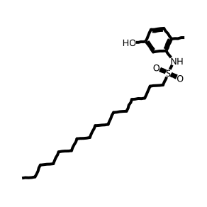 CCCCCCCCCCCCCCCCS(=O)(=O)Nc1cc(O)ccc1C